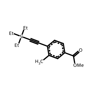 CC[Si](C#Cc1ccc(C(=O)OC)cc1C)(CC)CC